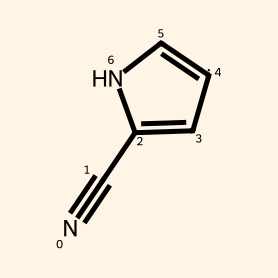 N#Cc1c[c]c[nH]1